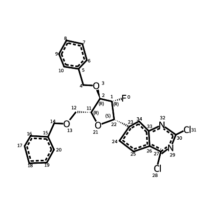 F[C@H]1[C@H](OCc2ccccc2)[C@@H](COCc2ccccc2)O[C@H]1c1ccc2c(Cl)nc(Cl)nc2c1